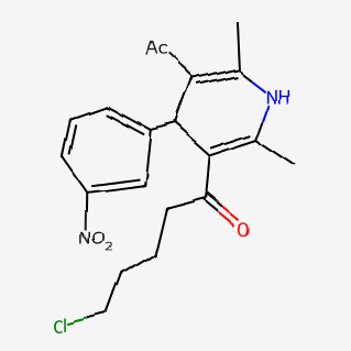 CC(=O)C1=C(C)NC(C)=C(C(=O)CCCCCl)C1c1cccc([N+](=O)[O-])c1